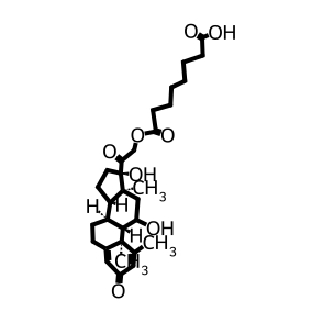 CC1=CC(=O)C=C2CC[C@@H]3[C@H](C(O)C[C@@]4(C)[C@H]3CC[C@]4(O)C(=O)COC(=O)CCCCCCC(=O)O)[C@@]12C